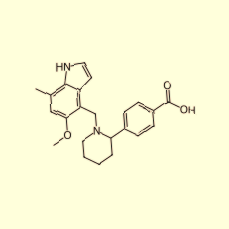 COc1cc(C)c2[nH]ccc2c1CN1CCCCC1c1ccc(C(=O)O)cc1